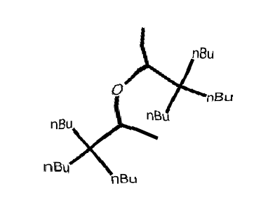 CCCCC(CCCC)(CCCC)C(C)OC(C)C(CCCC)(CCCC)CCCC